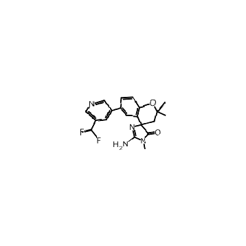 CN1C(=O)C2(CC(C)(C)Oc3ccc(-c4cncc(C(F)F)c4)cc32)N=C1N